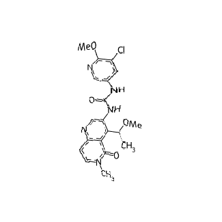 COc1ncc(NC(=O)Nc2cnc3ccn(C)c(=O)c3c2C(C)OC)cc1Cl